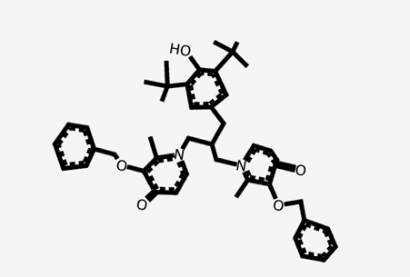 Cc1c(OCc2ccccc2)c(=O)ccn1CC(Cc1cc(C(C)(C)C)c(O)c(C(C)(C)C)c1)Cn1ccc(=O)c(OCc2ccccc2)c1C